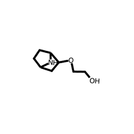 OCCOC1CC2CCC1N2